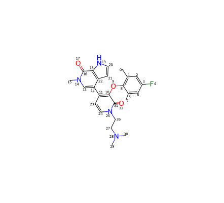 Cc1cc(F)cc(C)c1Oc1c(-c2cn(C)c(=O)c3[nH]ccc23)ccn(CCN(C)C)c1=O